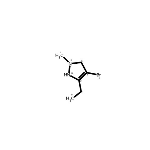 CCC1=C(Br)CN(C)N1